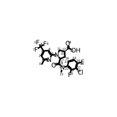 Cc1cc(C(F)(F)F)cc(N2C[C@@H](C(=O)O)CC2C(=O)N(C)c2ccc(F)c(Cl)c2F)n1